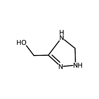 OCC1=NNCN1